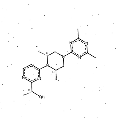 Cc1nc(C)nc(N2C[C@@H](C)N(c3ccnc([C@@H](C)O)n3)[C@@H](C)C2)n1